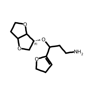 NCCC(O[C@@H]1COC2CCOC21)C1=CCCO1